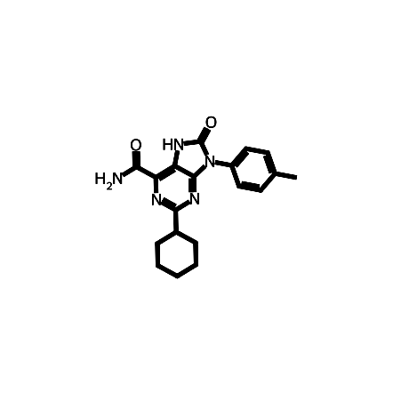 Cc1ccc(-n2c(=O)[nH]c3c(C(N)=O)nc(C4CCCCC4)nc32)cc1